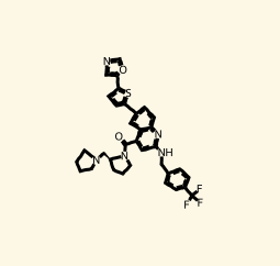 O=C(c1cc(NCc2ccc(C(F)(F)F)cc2)nc2ccc(-c3ccc(-c4cnco4)s3)cc12)N1CCC[C@H]1CN1CCCC1